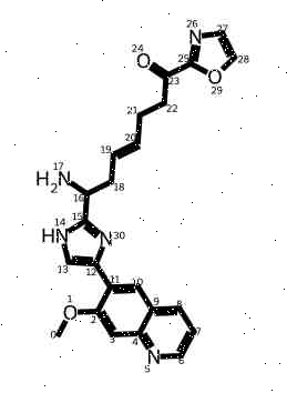 COc1cc2ncccc2cc1-c1c[nH]c(C(N)CC=CCCC(=O)c2ncco2)n1